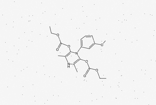 CCOC(=O)OC1=C(C)NC(C)=C(OC(=O)OCC)N1c1cccc(OC)c1